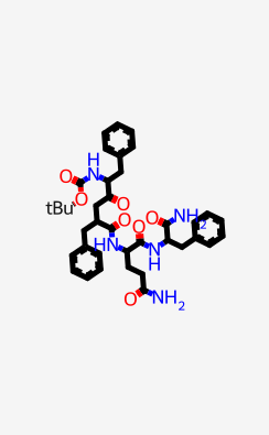 CC(C)(C)OC(=O)NC(Cc1ccccc1)C(=O)CC(Cc1ccccc1)C(=O)NC(CCC(N)=O)C(=O)NC(Cc1ccccc1)C(N)=O